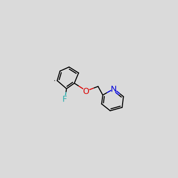 Fc1[c]cccc1OCc1ccccn1